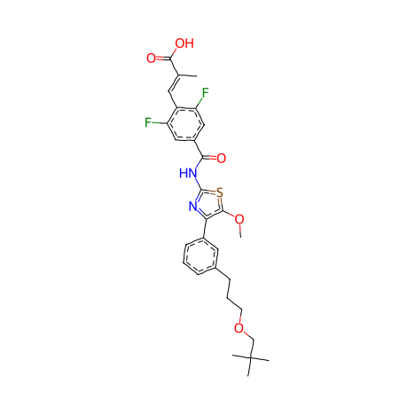 COc1sc(NC(=O)c2cc(F)c(C=C(C)C(=O)O)c(F)c2)nc1-c1cccc(CCCOCC(C)(C)C)c1